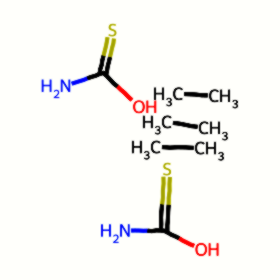 CC.CC.CC.NC(O)=S.NC(O)=S